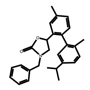 Cc1ccc(-c2cc(C(C)C)ccc2C)c(C2CN(Cc3ccccc3)C(=O)O2)c1